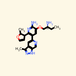 CC[C@H](N)COc1cc(-c2cc3c(C)n[nH]c3cn2)c(C2C=COC2C)nc1N